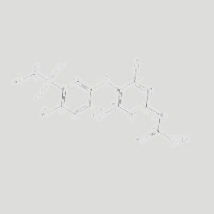 CCCNS(=O)(=O)c1cc(Oc2c(C)cc(NC(=O)C(=O)OCC)cc2Cl)ccc1O